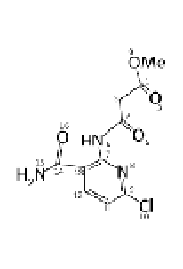 COC(=O)CC(=O)Nc1nc(Cl)ccc1C(N)=O